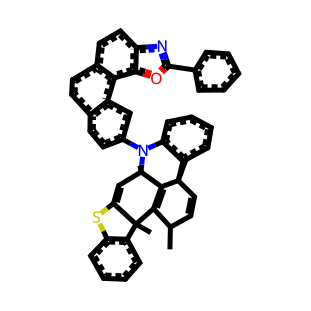 CC1C=CC2(C)C3=C1C1(C)C(=CC3(C)N(c3ccc4ccc5ccc6nc(-c7ccccc7)oc6c5c4c3)c3ccccc32)Sc2ccccc21